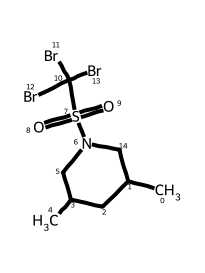 CC1CC(C)CN(S(=O)(=O)C(Br)(Br)Br)C1